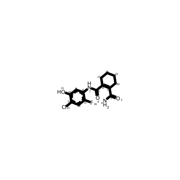 NC(=O)C1=C(C(=O)Nc2cc(O)c(Cl)cc2F)CCCC1